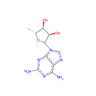 C[C@H]1OC(n2cnc3c(N)nc(N)nc32)[C@H](O)[C@@H]1O